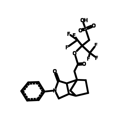 O=C(CC12CCC(C1)C1CN(c3ccccc3)C(=O)C12)OC(CS(=O)(=O)O)(C(F)(F)F)C(F)(F)F